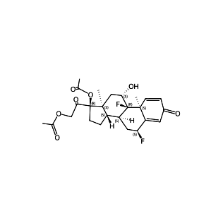 CC(=O)OCC(=O)[C@@]1(OC(C)=O)CC[C@H]2[C@@H]3C[C@H](F)C4=CC(=O)C=C[C@]4(C)[C@@]3(F)[C@@H](O)C[C@@]21C